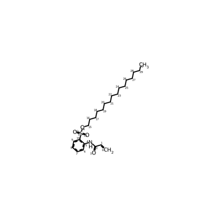 C=CC(=O)Nc1ccccc1S(=O)(=O)OCCCCCCCCCCCCCCCC